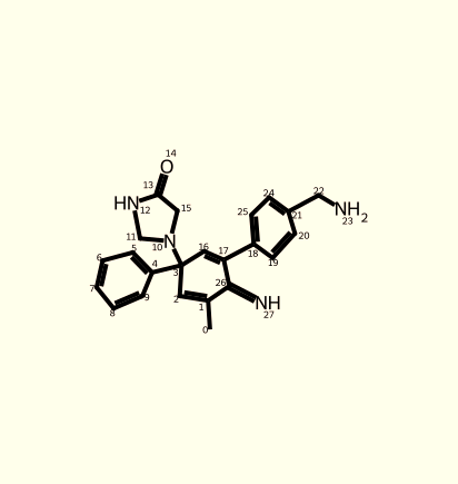 CC1=CC(c2ccccc2)(N2CNC(=O)C2)C=C(c2ccc(CN)cc2)C1=N